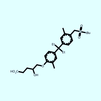 CCC(CC)(c1ccc(CS(=O)(=O)C(C)(C)C)c(C)c1)c1ccc(OCC(O)CCC(=O)O)c(C)c1